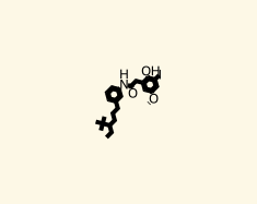 CCC(CCCc1cccc(NC(=O)Cc2cc(OC)cc(I)c2O)c1)C(C)(C)C